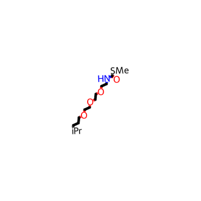 CSC(=O)NCCOCCOCCOCCCC(C)C